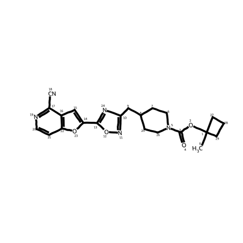 CC1(OC(=O)N2CCC(Cc3noc(-c4cc5c(C#N)nccc5o4)n3)CC2)CCC1